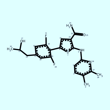 Cc1ccc(Nc2sc(-c3c(F)cc(CC(C)O)cc3F)cc2C(N)=O)nc1C